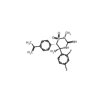 C=C(C)c1ccc([C@H]2[C@@](N)(c3ccc(F)cc3F)NC(=N)N(C)S2(=O)=O)cc1